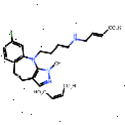 Cn1ncc2c1N(CCCCNC/C=C/C(=O)O)c1cc(Cl)ccc1CC2.O=C(O)/C=C\C(=O)O